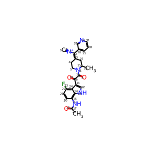 [C-]#[N+]/C(=C1\CCN(C(=O)C(=O)c2c[nH]c3c(NC(C)=O)ccc(F)c23)C(C)C1)c1cccnc1